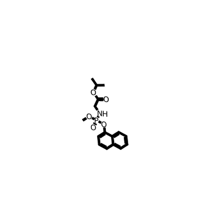 COP(=O)(NCC(=O)OC(C)C)Oc1cccc2ccccc12